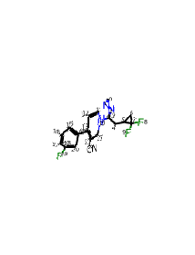 C=N/N=C(/CC1CC1(F)F)N1C=CC(c2cccc(F)c2)=C(C#N)C1